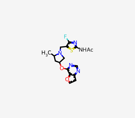 CC(=O)Nc1nc(F)c(CN2CC(Oc3ncnc4ccoc34)CC2C)s1